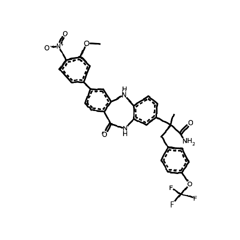 COc1cc(-c2ccc3c(c2)Nc2ccc(C(C)(Cc4ccc(OC(F)(F)F)cc4)C(N)=O)cc2NC3=O)ccc1[N+](=O)[O-]